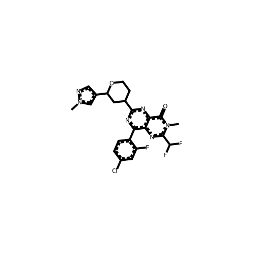 Cn1cc(C2CC(c3nc(-c4ccc(Cl)cc4F)c4nc(C(F)F)n(C)c(=O)c4n3)CCO2)cn1